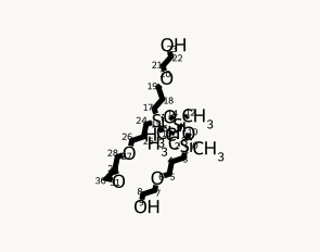 C[Si](C)(CCCOCCO)O[Si](C)(C)O[Si](C)(CCCOCCO)CCCOCC1CO1